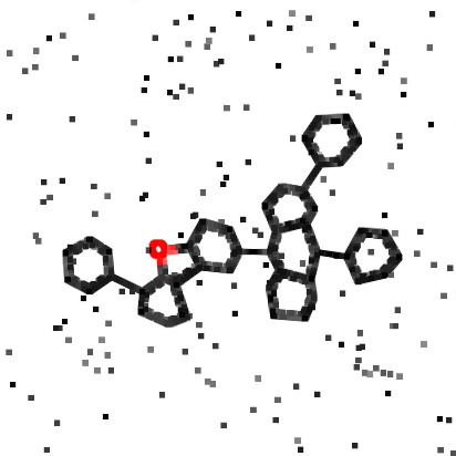 c1ccc(-c2ccc3c(-c4ccc5oc6c(-c7ccccc7)cccc6c5c4)c4ccccc4c(-c4ccccc4)c3c2)cc1